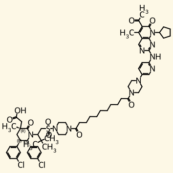 CC(=O)c1c(C)c2cnc(Nc3ccc(N4CCN(C(=O)CCCCCCCCCC(=O)N5CCN(S(=O)(=O)CC(N6C(=O)[C@@](C)(CC(=O)O)C[C@H](c7cccc(Cl)c7)[C@H]6c6ccc(Cl)cc6)C(C)(C)C)CC5)CC4)cn3)nc2n(C2CCCC2)c1=O